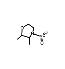 CC1OCCN([SH](=O)=O)C1C